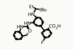 CCC(Nc1ccc(-c2cc(F)ccc2C(=O)O)cc1NC(=O)Nc1ccccc1F)C(C)(C)C